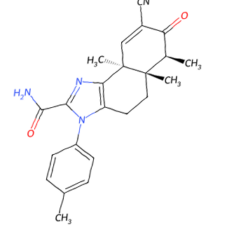 Cc1ccc(-n2c(C(N)=O)nc3c2CC[C@@]2(C)[C@H](C)C(=O)C(C#N)=C[C@]32C)cc1